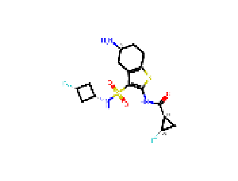 N[C@H]1CCc2sc(NC(=O)[C@H]3C[C@@H]3F)c(S(=O)(=O)N[C@H]3C[C@@H](F)C3)c2C1